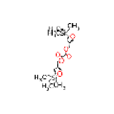 CC[Si](CC)(CC)c1cc(COC(=O)C(=O)OCc2coc([Si](CC)(CC)CC)c2)co1